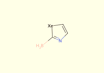 BC1=NC=C[Xe]1